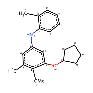 COc1c(C)cc(Nc2ccccc2C)cc1OC1CCCC1